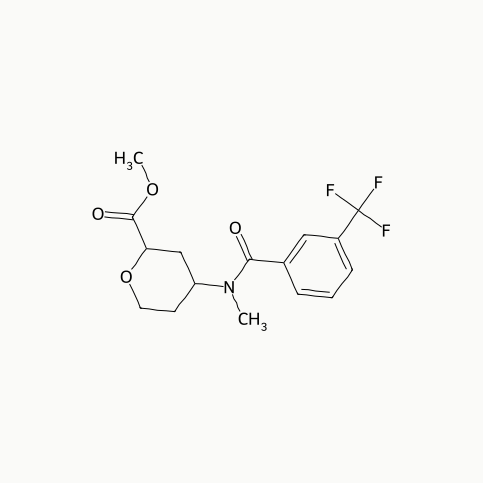 COC(=O)C1CC(N(C)C(=O)c2cccc(C(F)(F)F)c2)CCO1